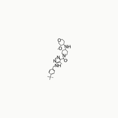 CO[C@@H]1COCC[C@@H]1NC1CCN(C(=O)c2ncnc(NCc3ccc(C(C)(C)C)cc3)c2C)CC1